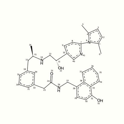 Cc1ccc(C)n1-c1ccc([C@H](O)CN[C@H](C)Cc2cccc(CC(=O)NCc3ccc(O)c4ccccc34)c2)cn1